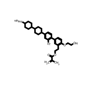 C=C(C)C(=O)OCCc1cc(-c2ccc(C3CCC(C4CCC(CCCCC)CC4)CC3)cc2CC)ccc1OCCO